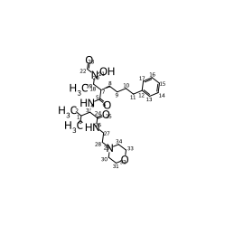 CC(C)[C@H](NC(=O)[C@H](CCCCc1ccccc1)[C@H](C)N(O)C=O)C(=O)NCCN1CCOCC1